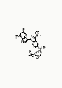 CC(F)(F)C1CN(C(O)c2cc3c(cn2)c(-c2cnc4c(F)cc(F)cn24)nn3CC(F)(F)F)CCO1